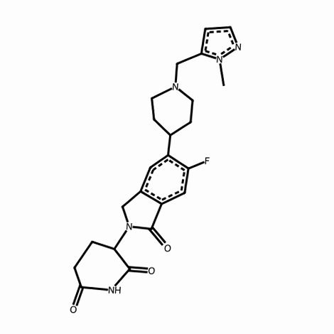 Cn1nccc1CN1CCC(c2cc3c(cc2F)C(=O)N(C2CCC(=O)NC2=O)C3)CC1